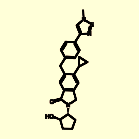 Cn1cc(-c2ccc(Cc3cc4c(cc3C3CC3)CN([C@@H]3CCC[C@H]3O)C4=O)cc2)nn1